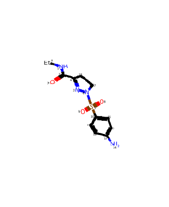 CCNC(=O)C1=NN(S(=O)(=O)c2ccc(N)cc2)CC1